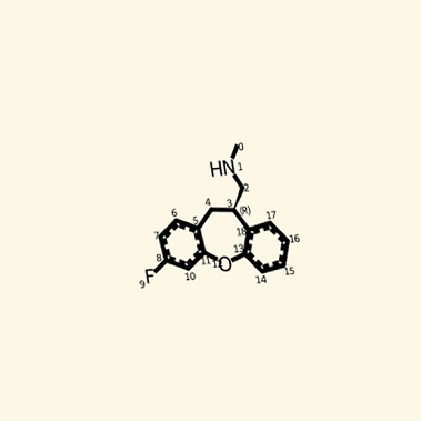 CNC[C@@H]1Cc2ccc(F)cc2Oc2ccccc21